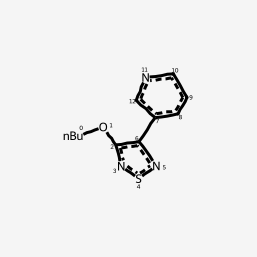 CCCCOc1nsnc1-c1cccnc1